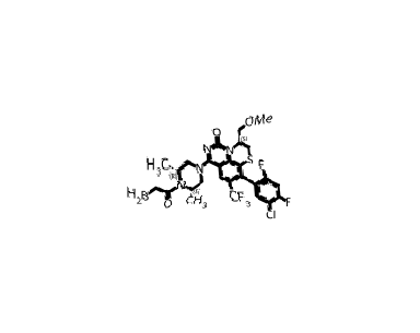 BCC(=O)N1[C@H](C)CN(c2nc(=O)n3c4c(c(-c5cc(Cl)c(F)cc5F)c(C(F)(F)F)cc24)SC[C@@H]3COC)C[C@@H]1C